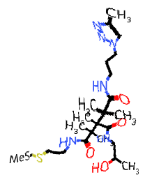 CSSCCNC(=O)C(C)(C)C(C)(C(=O)NCC(C)O)C(C)(C)C(=O)NCCCn1cc(C)nn1